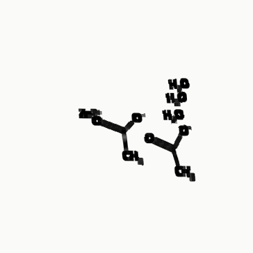 CC(=O)[O-].CC(=O)[O-].O.O.O.[Zn+2]